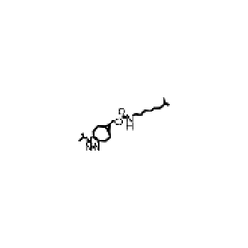 CC(C)CCCCCCNC(=O)OCC1C2CCc3nnn(C(C)C)c3CCC21